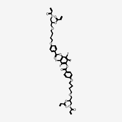 C=CC(=O)OCC(COCCCCOc1ccc(C(=O)Oc2c(F)c(F)c(OC(=O)c3ccc(OCCCCOCC(COC(=O)C=C)OC(=O)C=C)cc3)c(F)c2F)cc1)OC(=O)C=C